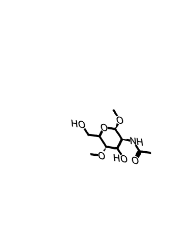 CO[C@@H]1C(CO)O[C@@H](OC)[C@@H](NC(C)=O)C1O